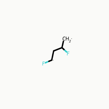 [CH2]C(F)C[CH]F